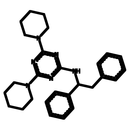 c1ccc(CC(Nc2nc(N3CCCCC3)nc(N3CCCCC3)n2)c2ccccc2)cc1